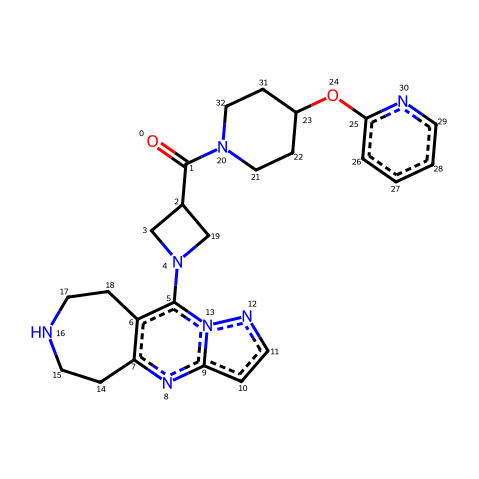 O=C(C1CN(c2c3c(nc4ccnn24)CCNCC3)C1)N1CCC(Oc2ccccn2)CC1